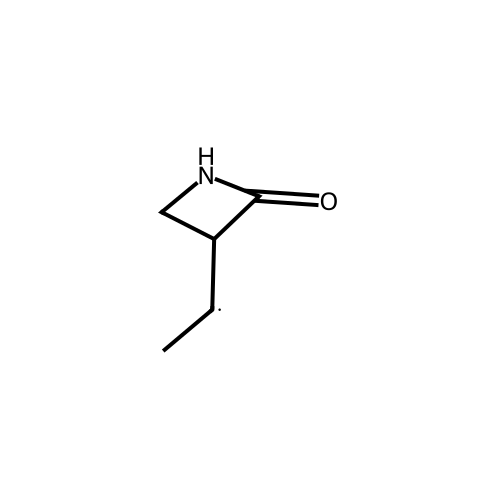 C[CH]C1CNC1=O